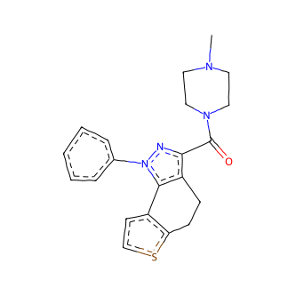 CN1CCN(C(=O)c2nn(-c3ccccc3)c3c2CCc2sccc2-3)CC1